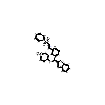 CN1CCC(OC(c2cccc(/C=C/S(=O)(=O)c3ccccc3)c2)c2nc3ccccc3s2)CC1